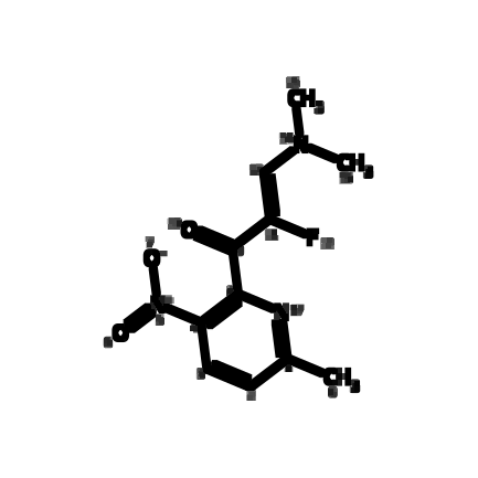 Cc1ccc([N+](=O)[O-])c(C(=O)C(F)=CN(C)C)n1